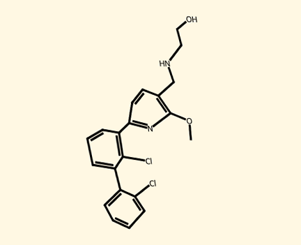 COc1nc(-c2cccc(-c3ccccc3Cl)c2Cl)ccc1CNCCO